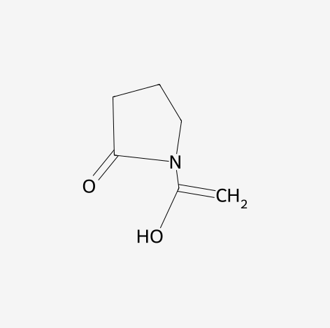 C=C(O)N1CCCC1=O